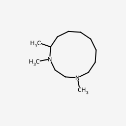 CC1CCCCCCCN(C)CCN1C